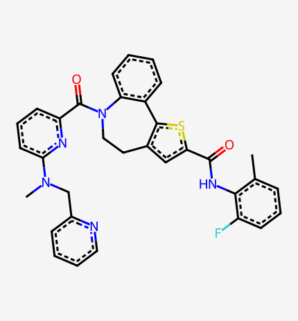 Cc1cccc(F)c1NC(=O)c1cc2c(s1)-c1ccccc1N(C(=O)c1cccc(N(C)Cc3ccccn3)n1)CC2